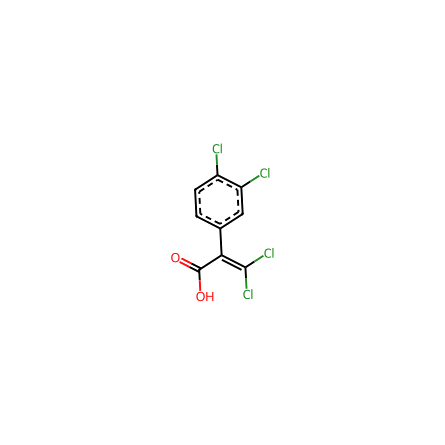 O=C(O)C(=C(Cl)Cl)c1ccc(Cl)c(Cl)c1